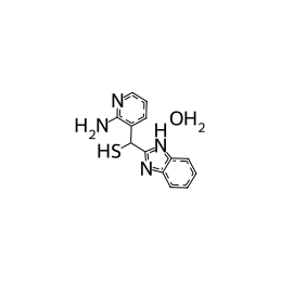 Nc1ncccc1C(S)c1nc2ccccc2[nH]1.O